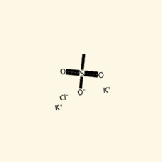 CS(=O)(=O)[O-].[Cl-].[K+].[K+]